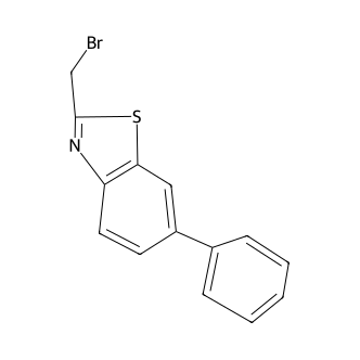 BrCc1nc2ccc(-c3ccccc3)cc2s1